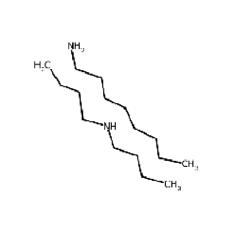 CCCCCCCCN.CCCCNCCCC